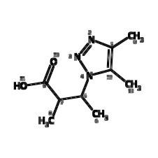 Cc1nnn(C(C)C(C)C(=O)O)c1C